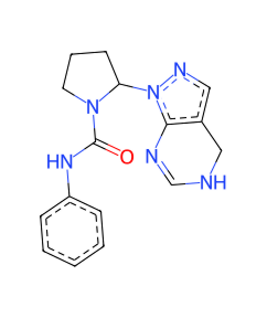 O=C(Nc1ccccc1)N1CCCC1n1ncc2c1N=CNC2